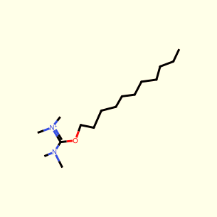 CCCCCCCCCCCOC(N(C)C)=[N+](C)C